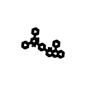 c1ccc(-c2cc(-c3ccccc3)nc(-c3ccc(-c4ccc5cc6ccccc6c(-c6ccccc6)c5n4)cc3)n2)cc1